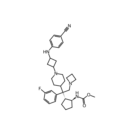 COC(=O)N[C@H]1CCC[C@@H]1C(CN1CCC1)(c1cccc(F)c1)C1CCN(C2CC(Nc3ccc(C#N)cc3)C2)CC1